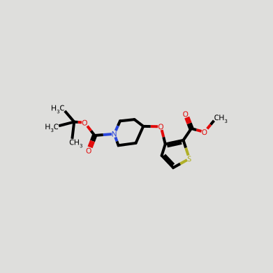 COC(=O)c1sccc1OC1CCN(C(=O)OC(C)(C)C)CC1